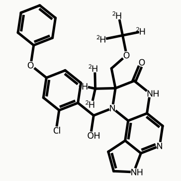 [2H]C([2H])([2H])OCC1(C([2H])([2H])[2H])C(=O)Nc2cnc3[nH]ccc3c2N1C(O)c1ccc(Oc2ccccc2)cc1Cl